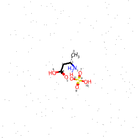 C[C@H](N)CC(=O)O.O=S(=O)(O)O